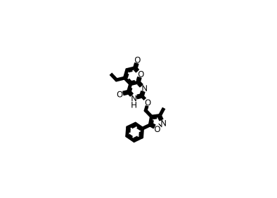 CCc1cc(=O)oc2nc(OCc3c(C)noc3-c3ccccc3)[nH]c(=O)c12